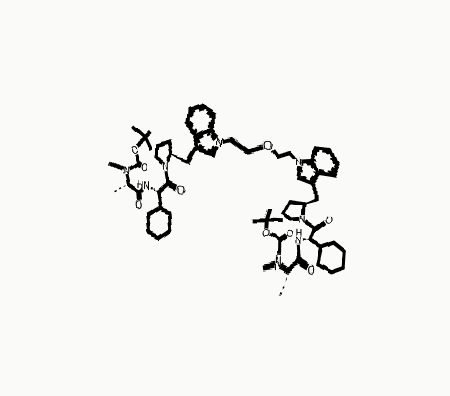 C[C@@H](C(=O)N[C@H](C(=O)N1CCC[C@H]1Cc1cn(CCOCCn2cc(C[C@@H]3CCCN3C(=O)[C@@H](NC(=O)[C@H](C)N(C)C(=O)OC(C)(C)C)C3CCCCC3)c3ccccc32)c2ccccc12)C1CCCCC1)N(C)C(=O)OC(C)(C)C